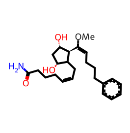 CO/C(=C/CCCc1ccccc1)[C@H]1C(C/C=C\CCCC(N)=O)[C@H](O)C[C@@H]1O